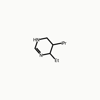 CCC1N=CNCC1C(C)C